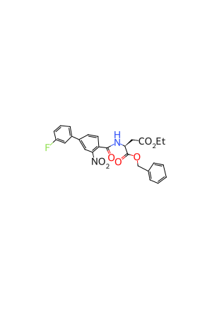 CCOC(=O)C[C@H](NC(=O)c1ccc(-c2cccc(F)c2)cc1[N+](=O)[O-])C(=O)OCc1ccccc1